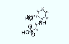 O=S(=O)(O)CCNC1CCCCC1.[Na+].[OH-]